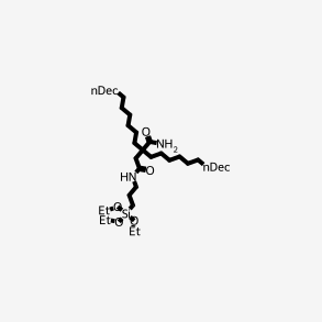 CCCCCCCCCCCCCCCCC(CCCCCCCCCCCCCCCC)(CC(=O)NCCC[Si](OCC)(OCC)OCC)C(N)=O